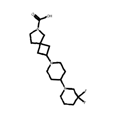 O=C(O)N1CCC2(CC(N3CCC(N4CCCC(F)(F)C4)CC3)C2)C1